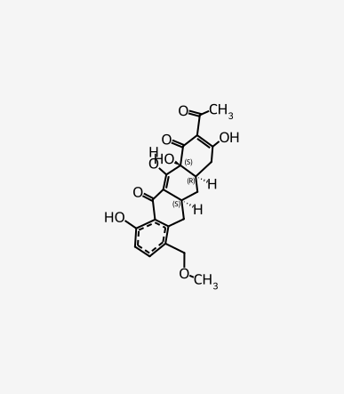 COCc1ccc(O)c2c1C[C@@H]1C[C@@H]3CC(O)=C(C(C)=O)C(=O)[C@@]3(O)C(O)=C1C2=O